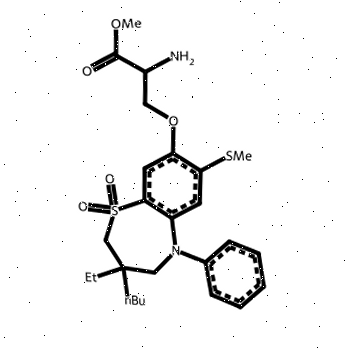 CCCCC1(CC)CN(c2ccccc2)c2cc(SC)c(OCC(N)C(=O)OC)cc2S(=O)(=O)C1